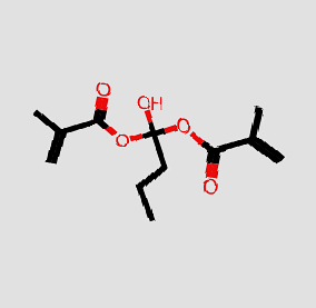 C=C(C)C(=O)OC(O)(CCC)OC(=O)C(=C)C